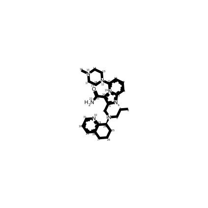 CCCN(Cc1nc2cccc(N3CCN(C)CC3)n2c1C(N)=O)[C@H]1CCCc2cccnc21